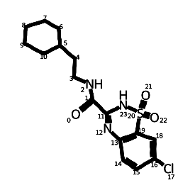 O=C(NCCC1CCCCC1)C1=Nc2ccc(Cl)cc2S(=O)(=O)N1